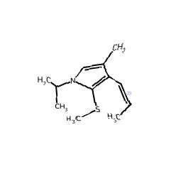 C/C=C\c1c(C)cn(C(C)C)c1SC